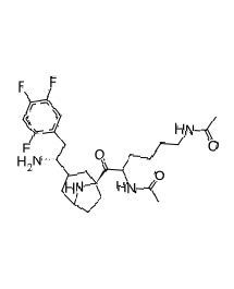 CC(=O)NCCCCC(NC(C)=O)C(=O)[C@]12CCC(CC([C@H](N)Cc3cc(F)c(F)cc3F)C1)N2